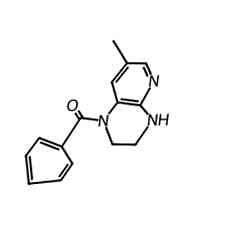 Cc1cnc2c(c1)N(C(=O)c1ccccc1)CCN2